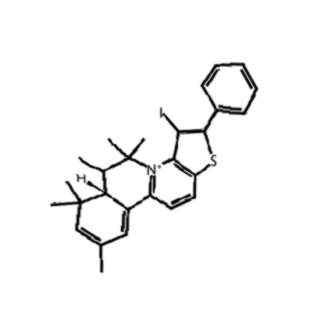 CC1=CC(C)(C)[C@H]2C(=C1)c1ccc3c([n+]1C(C)(C)C2C)C(I)C(c1ccccc1)S3